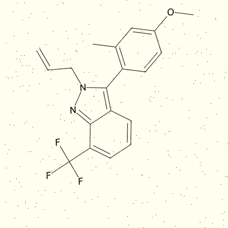 C=CCn1nc2c(C(F)(F)F)cccc2c1-c1ccc(OC)cc1C